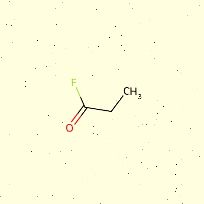 CCC(=O)F